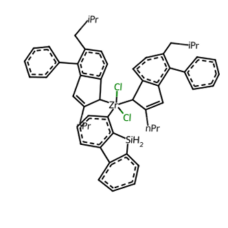 CCCC1=Cc2c(ccc(CC(C)C)c2-c2ccccc2)[CH]1[Zr]([Cl])([Cl])([c]1cccc2c1[SiH2]c1ccccc1-2)[CH]1C(CCC)=Cc2c1ccc(CC(C)C)c2-c1ccccc1